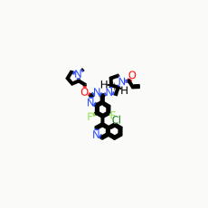 C=CC(=O)N1CC[C@@H]2[C@H]1CN2c1nc(OCC2CCCN2C)nc2c(F)c(-c3cncc4cccc(Cl)c34)c(F)cc12